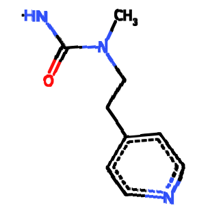 CN(CCc1ccncc1)C([NH])=O